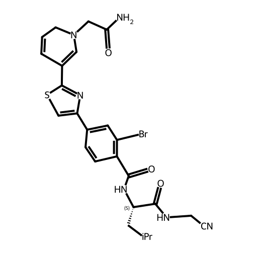 CC(C)C[C@H](NC(=O)c1ccc(-c2csc(C3=CN(CC(N)=O)CC=C3)n2)cc1Br)C(=O)NCC#N